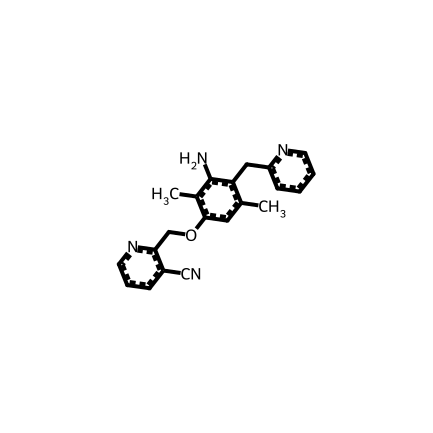 Cc1cc(OCc2ncccc2C#N)c(C)c(N)c1Cc1ccccn1